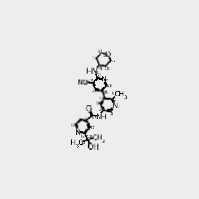 Cc1ncc(NC(=O)c2ccnc(C(C)(C)O)c2)cc1-c1cnc(NC2CCOCC2)c(C#N)c1